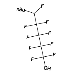 CCCCC(F)C(F)(F)C(F)(F)C(F)(F)C(O)(F)F